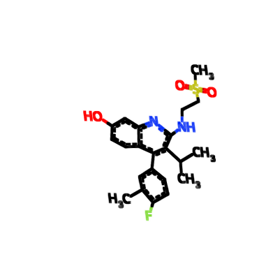 Cc1cc(-c2c(C(C)C)c(NCCS(C)(=O)=O)nc3cc(O)ccc23)ccc1F